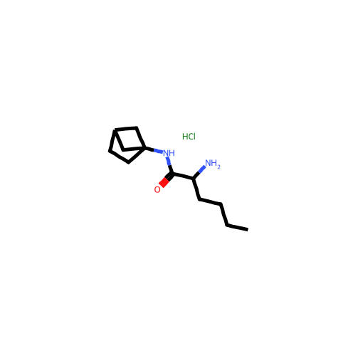 CCCCC(N)C(=O)NC12CCC(C1)C2.Cl